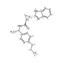 CC(NC(=O)[C@H]1C[C@@H]1c1nc2ccccc2[nH]1)c1ccc(OCC(F)(F)F)nc1